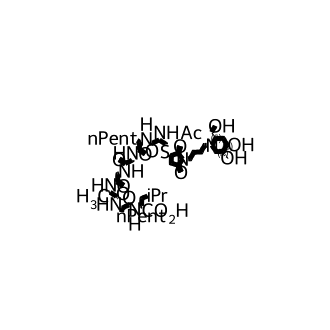 CCCCCC(NC(=O)C(C)NC(=O)CNC(=O)CNC(=O)C(CCCCC)NC(=O)C(CSC1CC(=O)N(CCCCN2C[C@@H](O)[C@@H](O)C[C@H]2CO)C1=O)NC(C)=O)C(=O)NC(CC(C)C)C(=O)O